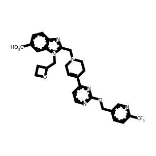 O=C(O)c1ccc2nc(CN3CC=C(c4ccnc(OCc5ccc(C(F)(F)F)nc5)n4)CC3)n(CC3CCO3)c2c1